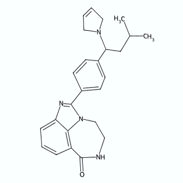 CC(C)CC(c1ccc(-c2nc3cccc4c3n2CCNC4=O)cc1)N1CC=CC1